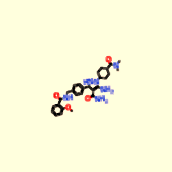 COc1ccccc1C(=O)NCc1ccc(C2NN(C3CCC(C(=O)N(C)C)CC3)C(N)=C2C(N)=O)cc1